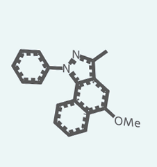 COc1cc2c(C)nn(-c3ccccc3)c2c2ccccc12